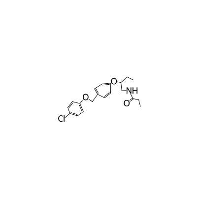 CCC(=O)NCC(CC)Oc1ccc(COc2ccc(Cl)cc2)cc1